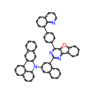 c1ccc2cc3c(cc2c1)-c1cccc2cccc(c12)N3c1cc(-c2nc(-c3ccc(-c4cccc5cccnc45)cc3)c3oc4ccccc4c3n2)c2ccccc2c1